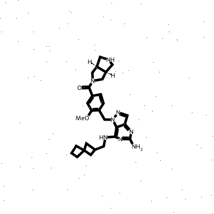 COc1cc(C(=O)N2C[C@H]3CNC[C@H]3C2)ccc1Cn1ncc2nc(N)nc(NCC3CC4(CCC4)C3)c21